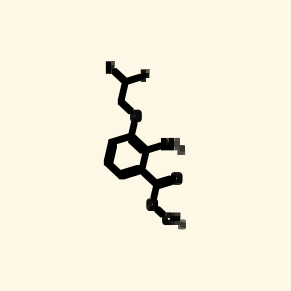 COC(=O)c1cccc(OCC(F)F)c1N